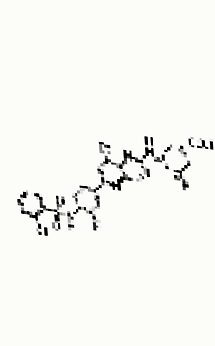 CCc1cc(-c2ccc(NS(=O)(=O)c3ccccc3Cl)c(F)c2)nc2cnc(N[C@H]3C[C@H](F)CN(C(=O)O)C3)nc12